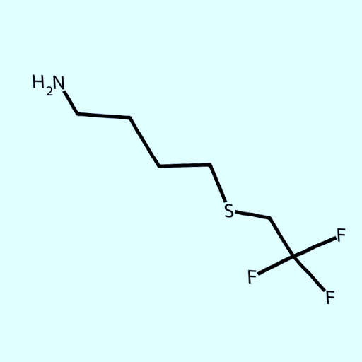 NCCCCSCC(F)(F)F